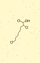 OC(Cl)C(Cl)CCCCCCCl